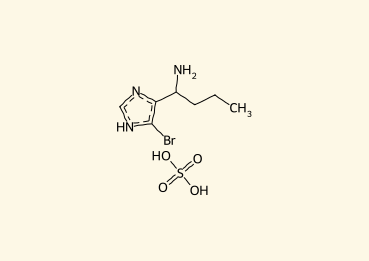 CCCC(N)c1nc[nH]c1Br.O=S(=O)(O)O